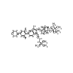 CC(C)(C)[Si](C)(C)OC1CO[C@H]2[C@@H]1OC[C@H]2Oc1c(I)c2nc(-c3c(F)cc(N4CCOCC4)cc3F)ccc2n1COCC[Si](C)(C)C